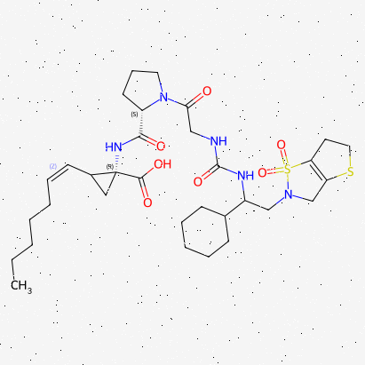 CCCCC/C=C\C1C[C@]1(NC(=O)[C@@H]1CCCN1C(=O)CNC(=O)NC(CN1CC2=C(CCS2)S1(=O)=O)C1CCCCC1)C(=O)O